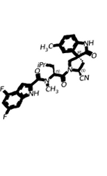 Cc1ccc2c(c1)[C@@]1(C[C@@H](C#N)N(C(=O)[C@H](CC(C)C)N(C)C(=O)c3cc4c(F)cc(F)cc4[nH]3)C1)C(=O)N2